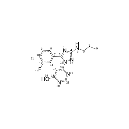 CCCNc1nc(-c2ccc(C)c(F)c2)n(-c2cc(O)ncn2)n1